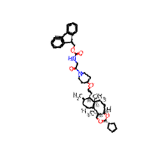 C=C1CCC2[C@]3(C)CO[C@@H](C4CCCC4)O[C@@H]3CC[C@@]2(C)[C@@H]1CCOC1CCN(C(=O)CNC(=O)OCC2c3ccccc3-c3ccccc32)CC1